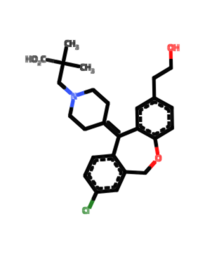 CC(C)(CN1CCC(=C2c3ccc(Cl)cc3COc3ccc(CCO)cc32)CC1)C(=O)O